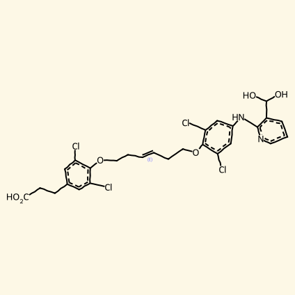 O=C(O)CCc1cc(Cl)c(OCC/C=C/CCOc2c(Cl)cc(Nc3ncccc3C(O)O)cc2Cl)c(Cl)c1